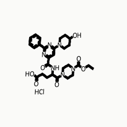 CCOC(=O)N1CCN(C(=O)C(CCC(=O)O)NC(=O)c2cc(N3CCC(O)CC3)nc(-c3ccccc3)n2)CC1.Cl